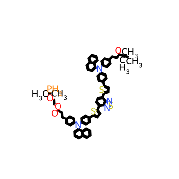 CCC(C)(C)C(=O)CCc1ccc(N(c2ccc(-c3ccc(-c4ccc(-c5ccc(-c6ccc(N(c7ccc(CCC(=O)OCCOC(C)(C)P)cc7)c7cccc8ccccc78)cc6)s5)c5nsnc45)s3)cc2)c2cccc3ccccc23)cc1